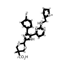 CC1(C(=O)O)COC(c2nc(-c3ccc(F)cc3)c(-c3ccnc(NCc4cccs4)n3)[nH]2)OC1